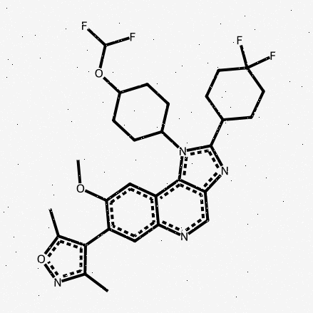 COc1cc2c(cc1-c1c(C)noc1C)ncc1nc(C3CCC(F)(F)CC3)n(C3CCC(OC(F)F)CC3)c12